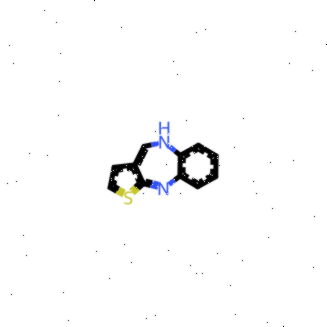 C1=c2ccsc2=Nc2ccccc2N1